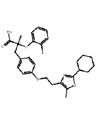 Cc1oc(C2CCCCC2)nc1CCOc1ccc(CC(C)(Oc2ccccc2F)C(=O)O)cc1